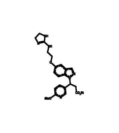 CCOC(=O)CC(c1ccc(OC)nc1)n1ncc2cc(OCCNC3=NCCN3)ccc21